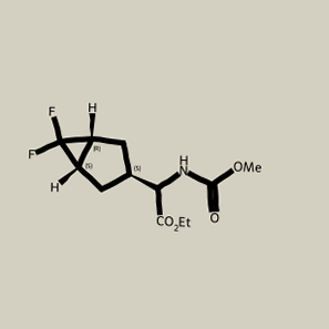 CCOC(=O)C(NC(=O)OC)[C@@H]1C[C@@H]2[C@H](C1)C2(F)F